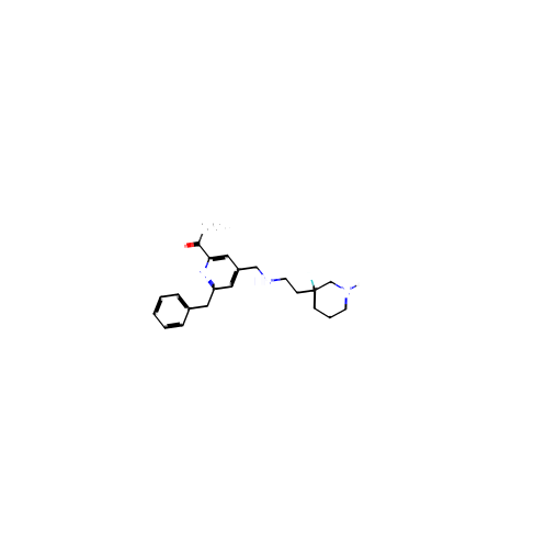 CNC(=O)c1cc(CNCCC2(F)CCCN(C(=O)O)C2)cc(Cc2ccccc2)n1